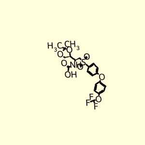 CC1(C)OC[C@H]([C@@H](CS(=O)(=O)c2ccc(Oc3ccc(OC(F)(F)F)cc3)cc2)NC(=O)O)O1